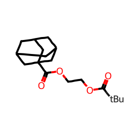 CC(C)(C)C(=O)OCCOC(=O)C12CC3CC(CC(C3)C1)C2